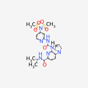 CC(C)NC(=O)c1ccc2c(n1)N(C(=O)Nc1cc(N(S(C)(=O)=O)S(C)(=O)=O)ccn1)[C@H]1CCN2C1